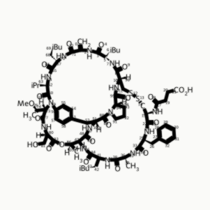 C=C1NC(=O)[C@H]([C@@H](C)CC)NC(=O)[C@@H]2CSSC[C@@H](NC(=O)CCC(=O)O)C(=O)N[C@@H](Cc3ccccc3)C(=O)N[C@H](C)C(=O)NC(C[C@@H](C)CC)C(=O)N[C@H]3C(=O)N[C@H](Cc4ccc(cc4)N(C(=O)[C@@H](C(C)C)NC(=O)[C@H](C[C@H](C)CC)NC1=O)[C@@H]([C@@H](C)OC)C(=O)N[C@@H](CO)C(=O)O[C@@H]3C)C(=O)N1CCC[C@H]1C(=O)N2